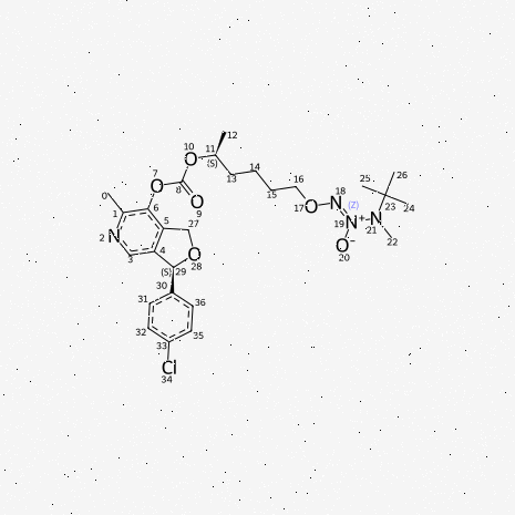 Cc1ncc2c(c1OC(=O)O[C@@H](C)CCCCO/N=[N+](\[O-])N(C)C(C)(C)C)CO[C@H]2c1ccc(Cl)cc1